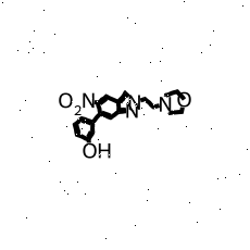 O=[N+]([O-])c1cc2cn(CCN3CCOCC3)nc2cc1-c1cccc(O)c1